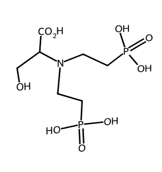 O=C(O)C(CO)N(CCP(=O)(O)O)CCP(=O)(O)O